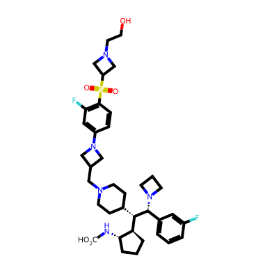 O=C(O)N[C@H]1CCC[C@@H]1[C@H](C1CCN(CC2CN(c3ccc(S(=O)(=O)C4CN(CCO)C4)c(F)c3)C2)CC1)[C@@H](c1cccc(F)c1)N1CCC1